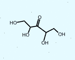 O=C(C(O)CO)C(O)CO